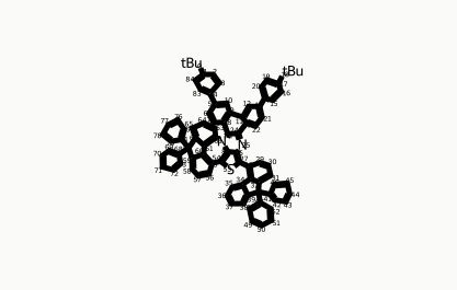 CC(C)(C)c1ccc(-c2ccc3c(c2)c2cc(-c4ccc(C(C)(C)C)cc4)ccc2c2nc4c(-c5cccc6c5-c5ccccc5C6(c5ccccc5)c5ccccc5)sc(-c5cccc6c5-c5ccccc5C6(c5ccccc5)c5ccccc5)c4nc32)cc1